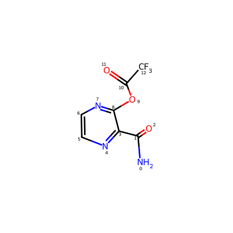 NC(=O)c1nccnc1OC(=O)C(F)(F)F